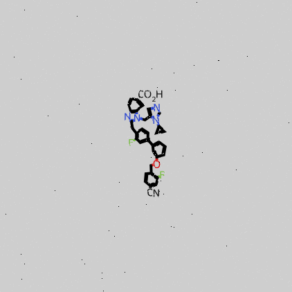 N#Cc1ccc(COc2cccc(-c3ccc(Cc4nc5ccc(C(=O)O)cc5n4Cc4cncn4C4CC4)c(F)c3)c2)c(F)c1